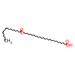 CCCCC/C=C\C/C=C\CCCCCCCC(=O)OCCCCCCCCCCCCCCCCCCCCCCCCCCC(=O)O